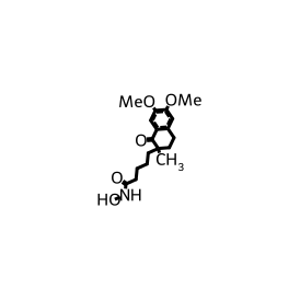 COc1cc2c(cc1OC)C(=O)C(C)(CCCCC(=O)NO)CC2